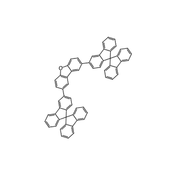 c1ccc2c(c1)-c1ccccc1C21c2ccccc2-c2cc(-c3ccc4oc5ccc(-c6ccc7c(c6)-c6ccccc6C76c7ccccc7-c7ccccc76)cc5c4c3)ccc21